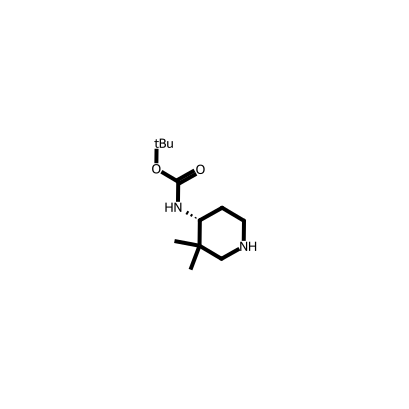 CC(C)(C)OC(=O)N[C@@H]1CCNCC1(C)C